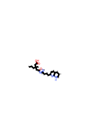 CCCC(C)(CC(=O)O)Cc1nc(CCCc2ccc3c(n2)NCCC3)no1